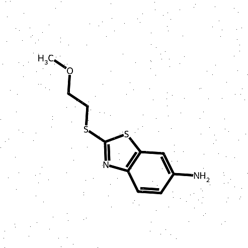 COCCSc1nc2ccc(N)cc2s1